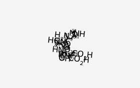 C[C@@H](O)[C@H](NC(=O)[C@@H](N)Cc1c[nH]cn1)C(=O)N[C@@H](CO)C(=O)N[C@@H](CC(=O)O)C(=O)O